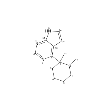 CC1CCCCC1(C)c1ncnc2[nH]ccc12